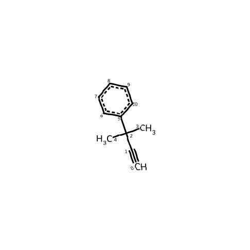 C#CC(C)(C)c1ccccc1